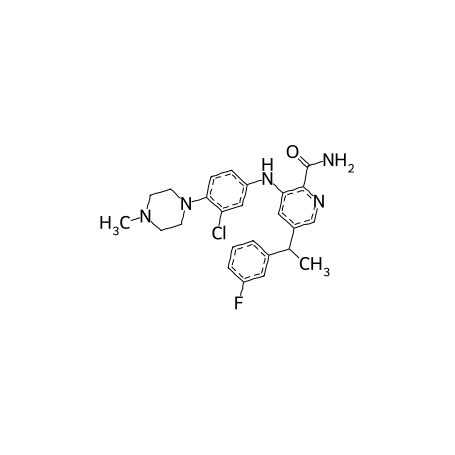 CC(c1cccc(F)c1)c1cnc(C(N)=O)c(Nc2ccc(N3CCN(C)CC3)c(Cl)c2)c1